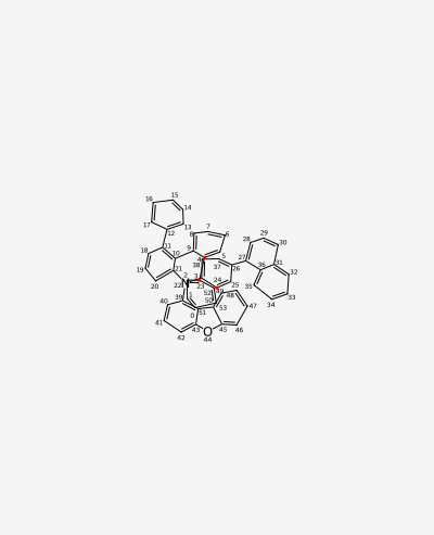 c1ccc(-c2ccccc2-c2c(-c3ccccc3)cccc2N(c2ccc(-c3cccc4ccccc34)cc2)c2cccc3oc4ccccc4c23)cc1